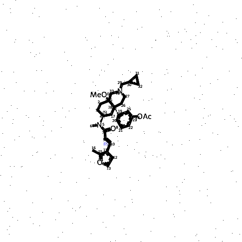 CO[C@]12CC[C@H](N(C)C(=O)/C=C/c3ccoc3C)C[C@]1(c1cccc(OC(C)=O)c1)CCN(CC1CC1)C2